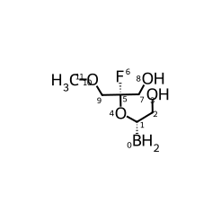 B[C@@H](CO)O[C@](F)(CO)COC